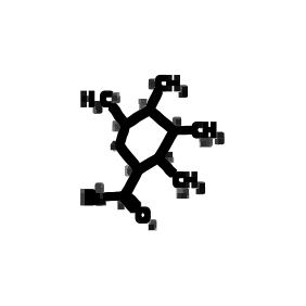 CCC(C)C(=O)C1CC(C)C(C)C(C)C1C